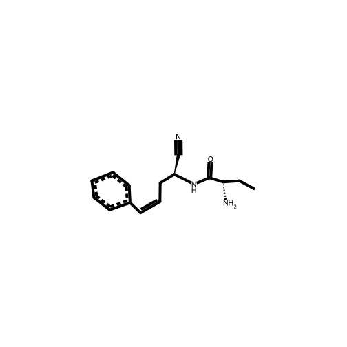 CC[C@H](N)C(=O)N[C@H](C#N)C/C=C\c1ccccc1